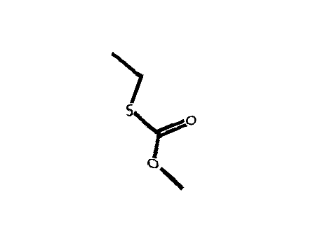 CCSC(=O)OC